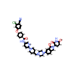 N#Cc1ccc(O[C@H]2CC[C@H](C(=O)Nc3ccc(N4CCC(CN5CCN(c6ccc7c(c6)C(=O)N(C6CCC(=O)NC6=O)C7)CC5)CC4)nc3)CC2)cc1Cl